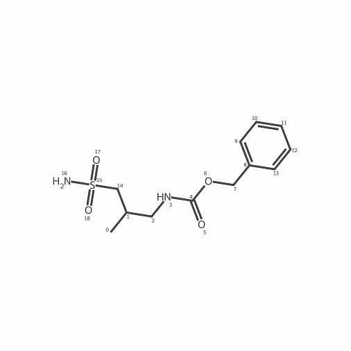 CC(CNC(=O)OCc1ccccc1)CS(N)(=O)=O